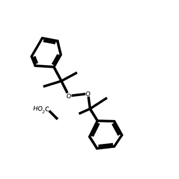 CC(=O)O.CC(C)(OOC(C)(C)c1ccccc1)c1ccccc1